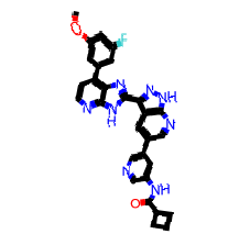 COc1cc(F)cc(-c2ccnc3[nH]c(-c4n[nH]c5ncc(-c6cncc(NC(=O)C7CCC7)c6)cc45)nc23)c1